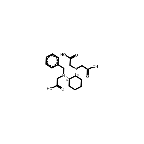 O=C(O)CN(CC(=O)O)[C@@H]1CCCC[C@@H]1N(CC(=O)O)Cc1ccccc1